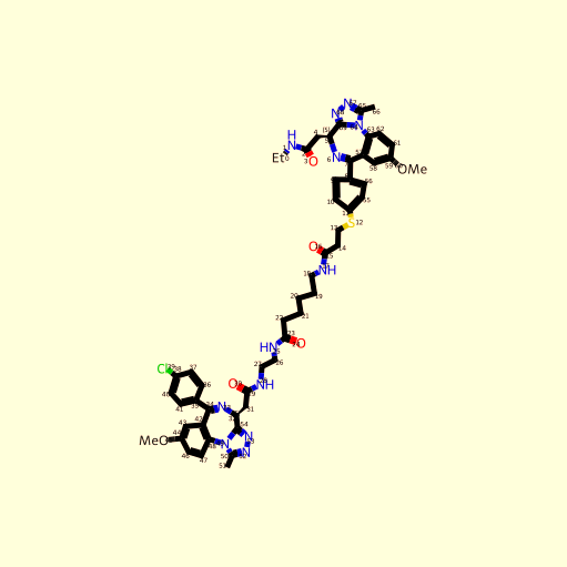 CCNC(=O)C[C@@H]1N=C(c2ccc(SCCC(=O)NCCCCCC(=O)NCCNC(=O)C[C@@H]3N=C(c4ccc(Cl)cc4)c4cc(OC)ccc4-n4c(C)nnc43)cc2)c2cc(OC)ccc2-n2c(C)nnc21